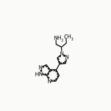 CCC(CN)n1cc(-c2ccnc3[nH]ncc23)cn1